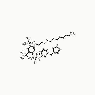 CCCCCCCCCCCCOc1cc(OP(=O)(O)Oc2cccc(CN3C=CSC3)c2)c(C(C)(C)C)cc1C(C)(C)C